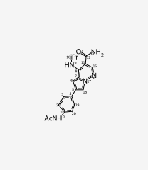 CC(=O)Nc1ccc(-c2cc3c(NC(C)C)c(C(N)=O)cnn3c2)cc1